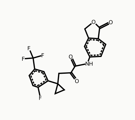 O=C(CC1(c2cc(C(F)(F)F)ccc2F)CC1)C(=O)Nc1ccc2c(c1)COC2=O